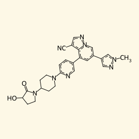 Cn1cc(-c2cc(-c3ccc(N4CCC(N5CCC(O)C5=O)CC4)nc3)c3c(C#N)cnn3c2)cn1